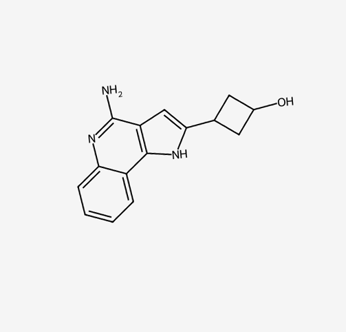 Nc1nc2ccccc2c2[nH]c(C3CC(O)C3)cc12